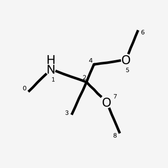 CNC(C)(COC)OC